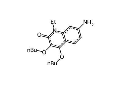 CCCCOc1c(OCCCC)c2ccc(N)cc2n(CC)c1=O